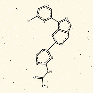 CC(=O)Nc1nccc(-c2ccc3noc(-c4cccc(Br)c4)c3c2)n1